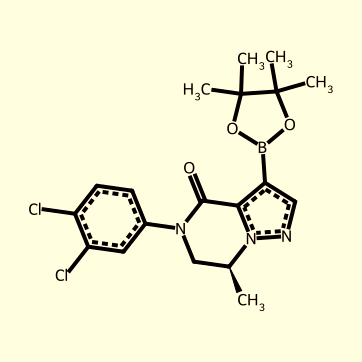 C[C@H]1CN(c2ccc(Cl)c(Cl)c2)C(=O)c2c(B3OC(C)(C)C(C)(C)O3)cnn21